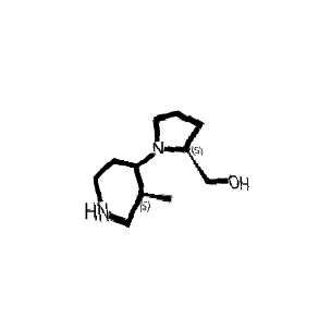 C[C@H]1CNCCC1N1CCC[C@H]1CO